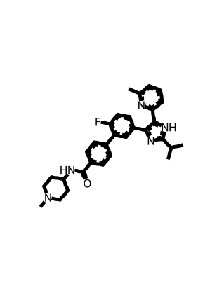 Cc1cccc(-c2[nH]c(C(C)C)nc2-c2ccc(F)c(-c3ccc(C(=O)NC4CCN(C)CC4)cc3)c2)n1